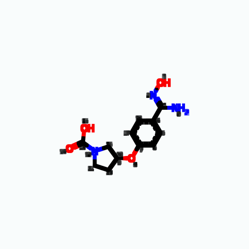 NC(=NO)c1ccc(O[C@H]2CCN(C(=O)O)C2)cc1